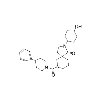 O=C(N1CCC(c2ccccc2)CC1)N1CCCC2(CCN(C3CCC(O)CC3)C2=O)C1